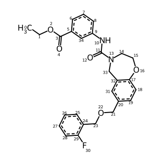 CCOC(=O)c1cccc(NC(=O)N2CCOc3ccc(COCc4ccccc4F)cc3C2)c1